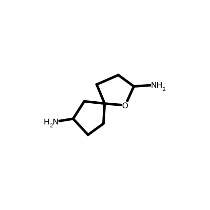 NC1CCC2(CCC(N)O2)C1